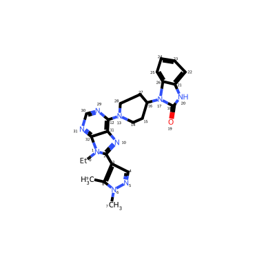 CCn1c(-c2cnn(C)c2C)nc2c(N3CCC(n4c(=O)[nH]c5ccccc54)CC3)ncnc21